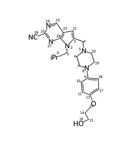 CC(C)Cn1c(CN2CCN(c3ccc(OCCO)cc3)CC2)cc2cnc(C#N)nc21